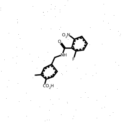 Cc1cc(CNC(=O)c2c(F)cccc2[N+](=O)[O-])ccc1C(=O)O